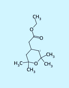 CCOC(=O)CC1[C]C(C)(C)OC(C)(C)C1